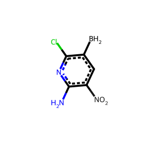 Bc1cc([N+](=O)[O-])c(N)nc1Cl